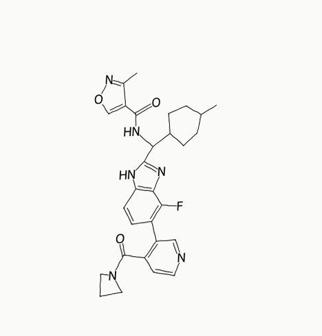 Cc1nocc1C(=O)NC(c1nc2c(F)c(-c3cnccc3C(=O)N3CCC3)ccc2[nH]1)C1CCC(C)CC1